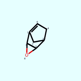 C1=C2CC(C1)C1OC21